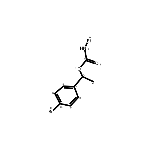 CCNC(=O)OC(C)c1ccc(Br)cc1